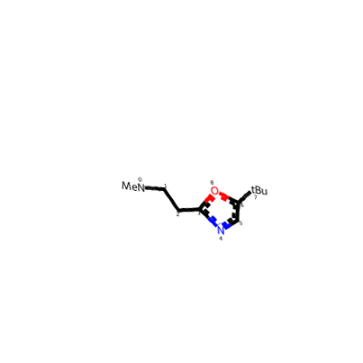 CNCCc1ncc(C(C)(C)C)o1